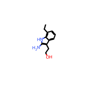 CCc1cccc2c(CCO)c(N)[nH]c12